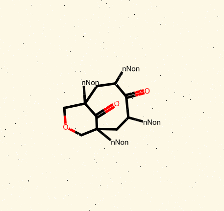 CCCCCCCCCC1CC2(CCCCCCCCC)COCC(CCCCCCCCC)(CC(CCCCCCCCC)C1=O)C2=O